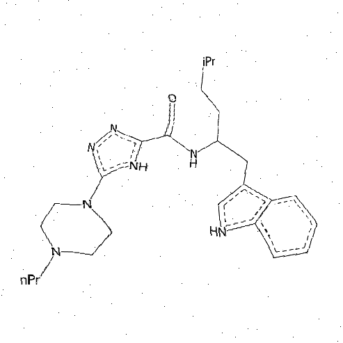 CCCN1CCN(c2nnc(C(=O)NC(CCC(C)C)Cc3c[nH]c4ccccc34)[nH]2)CC1